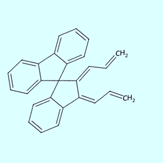 C=C/C=C1\C(=C/C=C)C2(c3ccccc31)c1ccccc1-c1ccccc12